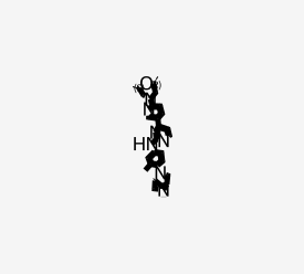 Cc1cc(Nc2nccc(-c3ccc(N4C[C@@H](C)O[C@@H](C)C4)nc3)n2)ccc1N1CC2CC1CN2C